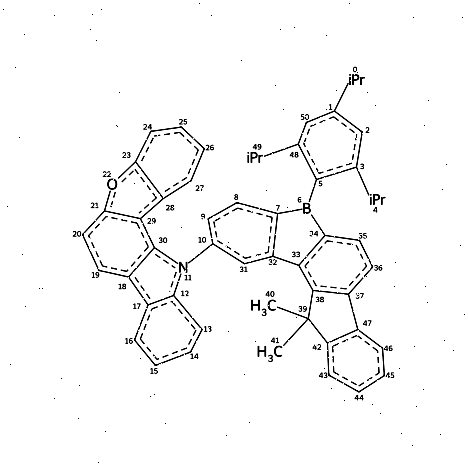 CC(C)c1cc(C(C)C)c(B2c3ccc(-n4c5ccccc5c5ccc6oc7ccccc7c6c54)cc3-c3c2ccc2c3C(C)(C)c3ccccc3-2)c(C(C)C)c1